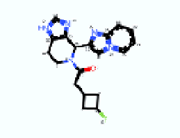 O=C(CC1CC(F)C1)N1CCc2[nH]cnc2[C@H]1c1cn2ccccc2n1